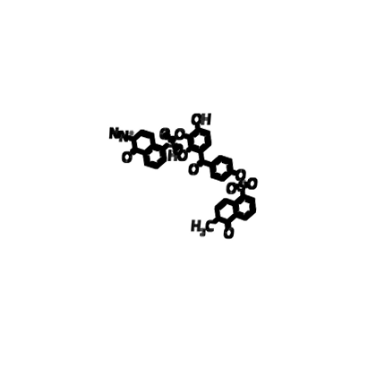 CC1C=Cc2c(cccc2S(=O)(=O)Oc2ccc(C(=O)c3ccc(O)c(OS(=O)(=O)c4cccc5c4C=CC([N+]#N)C5=O)c3O)cc2)C1=O